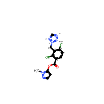 Cn1nccc1OC(=O)c1ccc(Cl)c(Cn2ncnn2)c1Cl